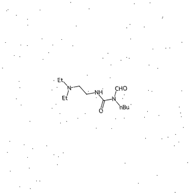 CCCCN(C=O)C(=O)NCCN(CC)CC